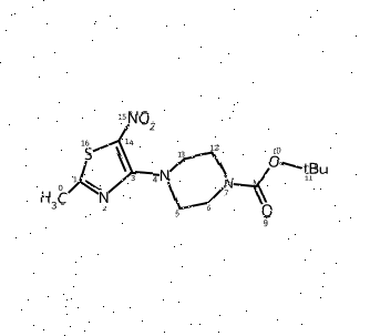 Cc1nc(N2CCN(C(=O)OC(C)(C)C)CC2)c([N+](=O)[O-])s1